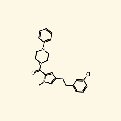 Cn1cc([CH]Cc2cccc(Cl)c2)cc1C(=O)N1CCN(c2ccccc2)CC1